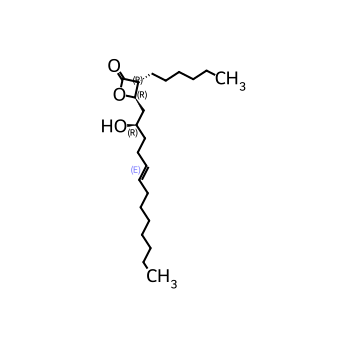 CCCCCCC/C=C/CC[C@@H](O)C[C@H]1OC(=O)[C@@H]1CCCCCC